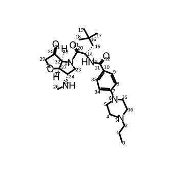 CCCN1CCN(c2ccc(C(=O)N[C@@H](CC(C)(C)C)C(=O)N3C[C@H](NC)[C@H]4OCC(=O)[C@H]43)cc2)CC1